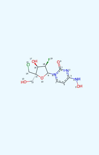 O=c1nc(NO)ccn1C1O[C@@](CO)(CCl)[C@@H](O)[C@H]1F